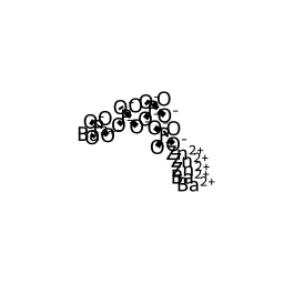 O=P([O-])([O-])[O-].O=P([O-])([O-])[O-].O=P([O-])([O-])[O-].O=P([O-])([O-])[O-].[Ba+2].[Ba+2].[Ba+2].[Zn+2].[Zn+2].[Zn+2]